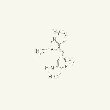 C=C(/C=C(N)\C(F)=C/C)Cc1cc(C)cnc1/C=N\C